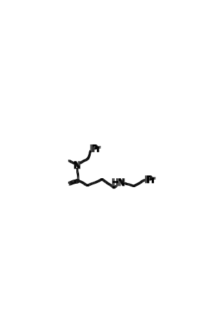 C=C(CCCNCC(C)C)N(C)CC(C)C